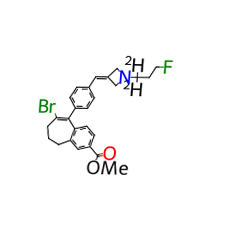 [2H]C([2H])(CCF)N1CC(=Cc2ccc(C3=C(Br)CCCc4cc(C(=O)OC)ccc43)cc2)C1